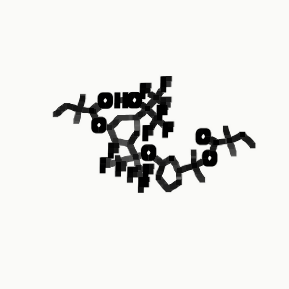 CCC(C)(C)C(=O)OC1CC(C(O)(C(F)(F)F)C(F)(F)F)CC(C(OC2CCCC(C(C)(C)OC(=O)C(C)(C)CC)C2)(C(F)(F)F)C(F)(F)F)C1